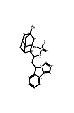 O=P(O)(O)OC(CC1c2ccccc2-c2cncn21)C1C2CC3CC1CC(O)(C3)C2